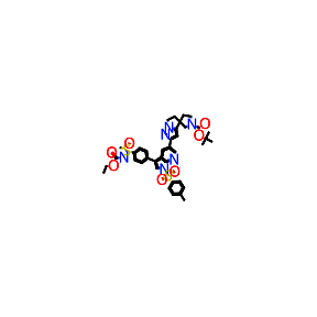 CCOC(=O)N=S(C)(=O)c1ccc(-c2cn(S(=O)(=O)c3ccc(C)cc3)c3ncc(-c4cc5n(n4)CCC54CCN(C(=O)OC(C)(C)C)C4)cc23)cc1